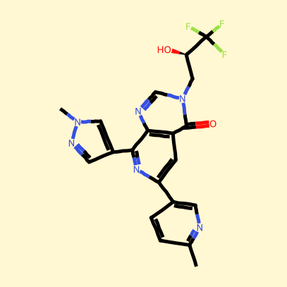 Cc1ccc(-c2cc3c(=O)n(C[C@@H](O)C(F)(F)F)cnc3c(-c3cnn(C)c3)n2)cn1